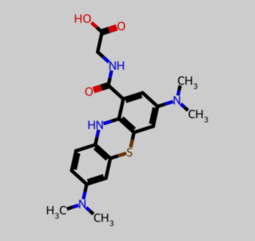 CN(C)c1ccc2c(c1)Sc1cc(N(C)C)cc(C(=O)NCC(=O)O)c1N2